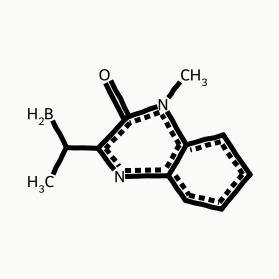 BC(C)c1nc2ccccc2n(C)c1=O